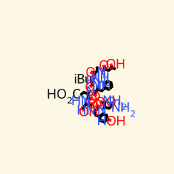 CCC(C)C(NC(=O)C(C)NC(=O)CC(C)O)C(=O)NC(Cc1ccccc1)C(=O)NC(CCC(=O)O)C(=O)NC(CO)C(=O)NC(Cc1ccc(O)cc1)C(=O)NC(CC(N)=O)C(N)=O